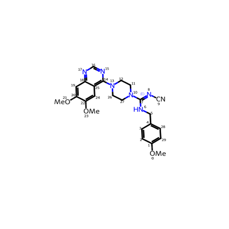 COc1ccc(CN/C(=N\C#N)N2CCN(c3ncnc4cc(OC)c(OC)cc34)CC2)cc1